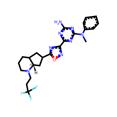 CN(c1ccccc1)c1nc(N)nc(-c2noc(C3CC4CCCN(CCC(F)(F)F)[C@H]4C3)n2)n1